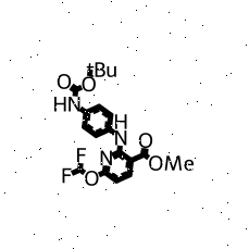 COC(=O)c1ccc(OC(F)F)nc1Nc1ccc(NC(=O)OC(C)(C)C)cc1